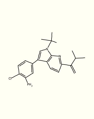 C=C(c1ccc2c(-c3ccc(Cl)c(P)c3)cn(C(C)(C)C)c2n1)C(C)C